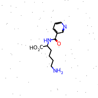 NCCCCC(NC(=O)c1cccnc1)C(=O)O